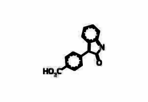 O=C1N=c2ccccc2=C1c1ccc(C(=O)O)cc1